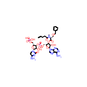 C=CCCC(=O)N(C)[C@@H](COCc1ccccc1)C(=O)O[C@H]1[C@@H](O)[C@H](n2cnc3c(N)ncnc32)O[C@@H]1COP(=O)(O)O[C@H]1[C@@H](O)[C@H](n2ccc(N)nc2=O)O[C@@H]1COP(=O)(O)O